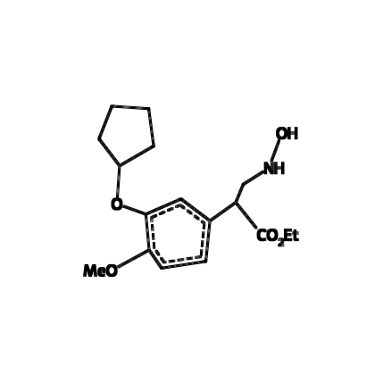 CCOC(=O)C(CNO)c1ccc(OC)c(OC2CCCC2)c1